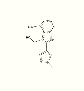 Cn1cc(-c2[nH]c3nccc(N)c3c2CO)cn1